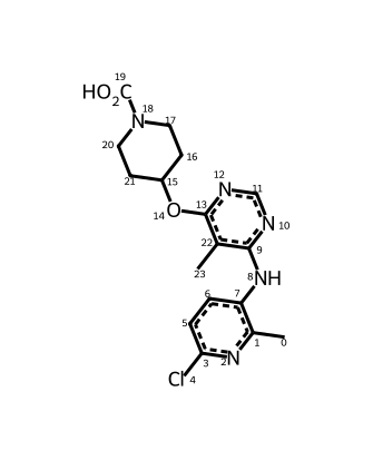 Cc1nc(Cl)ccc1Nc1ncnc(OC2CCN(C(=O)O)CC2)c1C